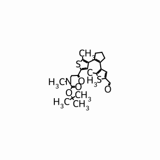 Cc1sc(C=O)cc1C1=C(c2cc(C(=O)CN(C)C(=O)OC(C)(C)C)sc2C)CCC1